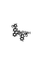 CN(C(=O)C(CC(=O)O)Cc1ccccc1)c1nc(-c2ccccc2-c2ccc(N3CCCC3=O)nc2)ns1